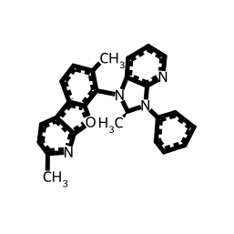 Cc1ccc2c(n1)oc1c(N3c4cccnc4N(c4ccccc4)[C@@H]3C)c(C)ccc12